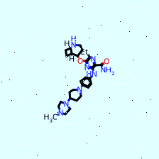 CCc1nc(C(N)=O)c(Nc2ccc(N3CCC(N4CCN(C)CC4)CC3)cc2)nc1OC1CCN[C@@H]2CC[C@H]12